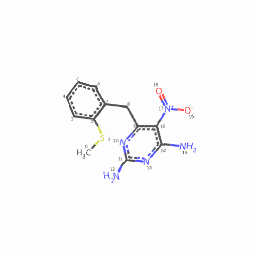 CSc1ccccc1Cc1nc(N)nc(N)c1[N+](=O)[O-]